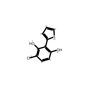 Oc1ccc(Cl)c(O)c1-c1cccs1